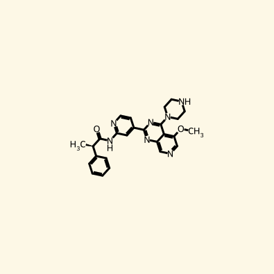 COc1cncc2nc(-c3ccnc(NC(=O)[C@H](C)c4ccccc4)c3)nc(N3CCNCC3)c12